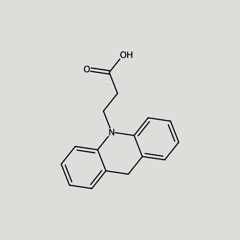 O=C(O)CCN1c2ccccc2Cc2ccccc21